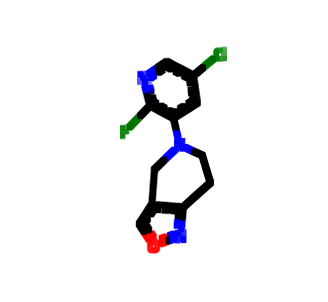 Fc1ncc(Cl)cc1N1CCc2nocc2C1